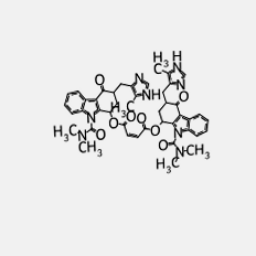 Cc1[nH]cnc1CC1CC(OC(=O)/C=C\C(=O)OC2CC(Cc3nc[nH]c3C)C(=O)c3c2n(C(=O)N(C)C)c2ccccc32)c2c(c3ccccc3n2C(=O)N(C)C)C1=O